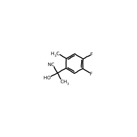 Cc1cc(F)c(F)cc1C(C)(O)C#N